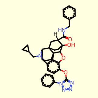 O=C(NCc1ccccc1)[C@H]1CC23CCC1(O)C1Oc4c(Oc5nnnn5-c5ccccc5)ccc5c4C12CCN(CC1CC1)C3C5